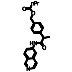 CCCC(=O)OCc1ccc(C(C)C(=O)Nc2ccc3cnccc3c2)cc1